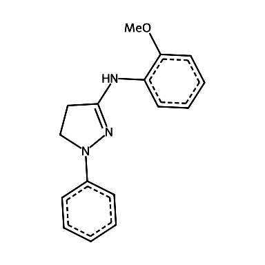 COc1ccccc1NC1=NN(c2ccccc2)CC1